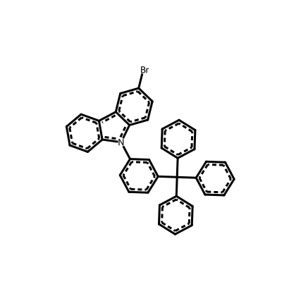 Brc1ccc2c(c1)c1ccccc1n2-c1cccc(C(c2ccccc2)(c2ccccc2)c2ccccc2)c1